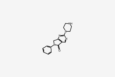 O=C1c2cnc(N3CCNCC3)nc2CN1c1ccccc1